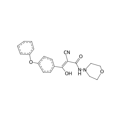 N#CC(C(=O)NN1CCOCC1)=C(O)c1ccc(Oc2ccccc2)cc1